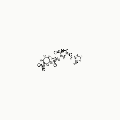 CN1CCC[C@@H]1COc1cnc(Cl)c(CNC(=O)c2cccc([N+](=O)[O-])c2)c1